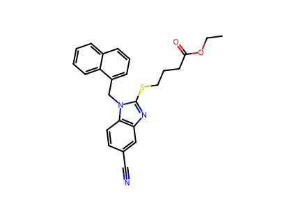 CCOC(=O)CCCSc1nc2cc(C#N)ccc2n1Cc1cccc2ccccc12